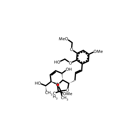 COCOc1cc(OC)cc(/C=C/C[C@@H]2OC(C)(C)O[C@@H]2C(O)/C=C\[C@@H](OCOC)[C@H](C)O)c1OCO